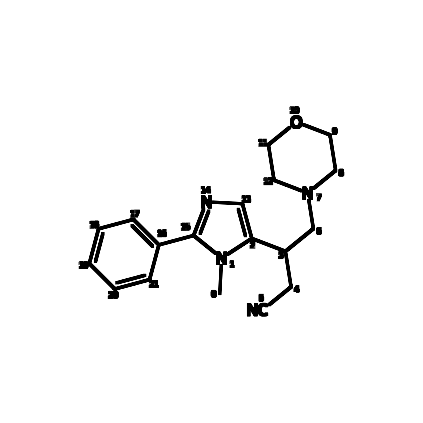 Cn1c(C(CC#N)CN2CCOCC2)cnc1-c1ccccc1